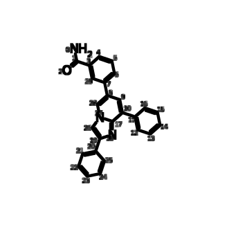 NC(=O)c1cccc(-c2cc(-c3ccccc3)c3nc(-c4ccccc4)cn3c2)c1